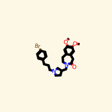 COc1cc2c(cc1OC)CC(=O)N(CC1CCN(CCCc3ccc(Br)cc3)C1)CC2